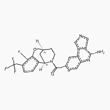 Nc1nc2cnc(C(=O)N3CC[C@H]4C[C@@H]3c3ccc(C(F)(F)F)c(F)c3O4)cc2n2cncc12